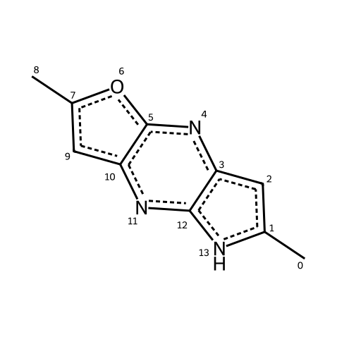 Cc1cc2nc3oc(C)cc3nc2[nH]1